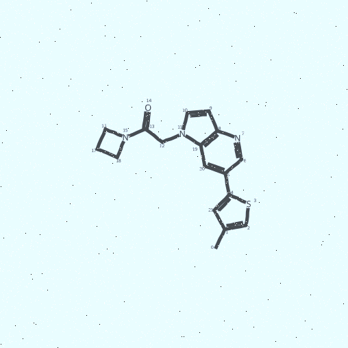 Cc1csc(-c2cnc3ccn(CC(=O)N4CCC4)c3c2)c1